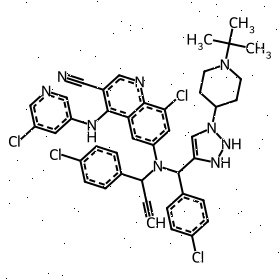 C#CC(c1ccc(Cl)cc1)N(c1cc(Cl)c2ncc(C#N)c(Nc3cncc(Cl)c3)c2c1)C(C1=CN(C2CCN(C(C)(C)C)CC2)NN1)c1ccc(Cl)cc1